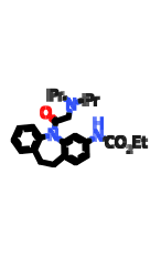 CCOC(=O)Nc1ccc2c(c1)N(C(=O)CN(C(C)C)C(C)C)c1ccccc1CC2